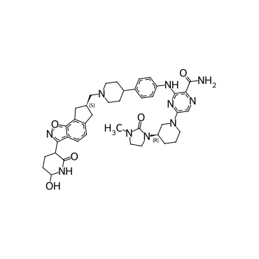 CN1CCN([C@@H]2CCCN(c3cnc(C(N)=O)c(Nc4ccc(C5CCN(C[C@H]6Cc7ccc8c(C9CCC(O)NC9=O)noc8c7C6)CC5)cc4)n3)C2)C1=O